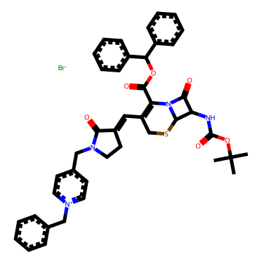 CC(C)(C)OC(=O)NC1C(=O)N2C(C(=O)OC(c3ccccc3)c3ccccc3)=C(C=C3CCN(Cc4cc[n+](Cc5ccccc5)cc4)C3=O)CSC12.[Br-]